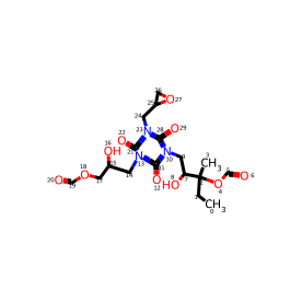 CCC(C)(OC=O)C(O)Cn1c(=O)n(CC(O)COC=O)c(=O)n(CC2CO2)c1=O